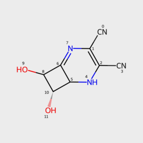 N#CC1=C(C#N)NC2C(=N1)C(O)[C@H]2O